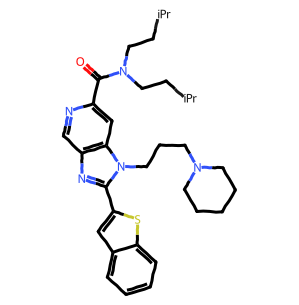 CC(C)CCN(CCC(C)C)C(=O)c1cc2c(cn1)nc(-c1cc3ccccc3s1)n2CCCN1CCCCC1